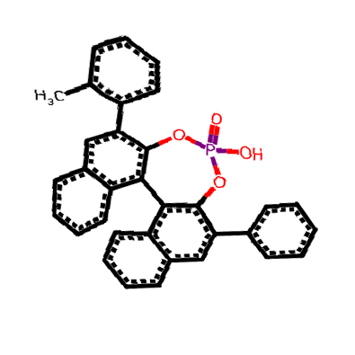 Cc1ccccc1-c1cc2ccccc2c2c1OP(=O)(O)Oc1c(-c3ccccc3)cc3ccccc3c1-2